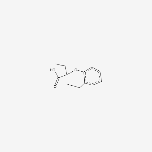 CCC1(C(=O)O)CCc2ccccc2O1